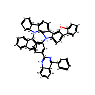 c1ccc(-c2nc(-c3cccc(-n4c5ccc6c7ccccc7oc6c5c5ccc6c7ccccc7n(-c7cccc8ccccc78)c6c54)c3)nc3ccccc23)cc1